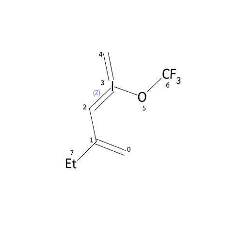 C=C(/C=I(=C)\OC(F)(F)F)CC